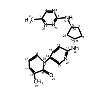 Cc1cnc(N[C@H]2CC[C@H](Nc3ccc(-n4cccc(C)c4=O)cn3)C2)nn1